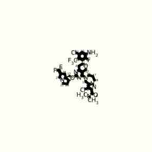 CN(C)C(=O)c1nn2c(c1Cl)CN(c1nc(OC[C@@]34CCCN3CC(=C(F)F)C4)nc3c1CO[C@@H](c1c(F)c(N)cc(Cl)c1C(F)(F)F)C3)CCC2